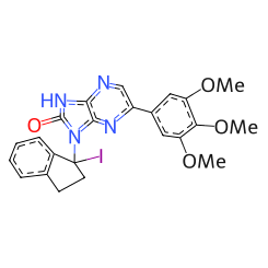 COc1cc(-c2cnc3[nH]c(=O)n(C4(I)CCc5ccccc54)c3n2)cc(OC)c1OC